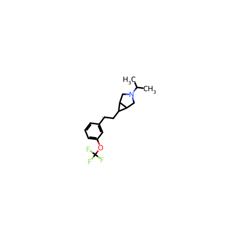 CC(C)N1CC2C(C[CH]c3cccc(OC(F)(F)F)c3)C2C1